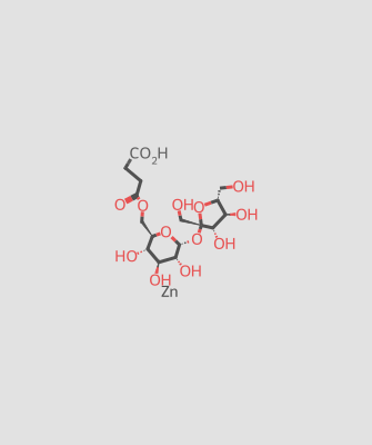 O=C(O)CCC(=O)OC[C@H]1O[C@H](O[C@]2(CO)O[C@H](CO)[C@@H](O)[C@@H]2O)[C@H](O)[C@@H](O)[C@@H]1O.[Zn]